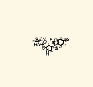 N#CC1(NC(=O)O[C@H]2C[C@@H](S(=O)(=O)c3ccc(Br)cc3C(F)(F)F)CN2)CC1